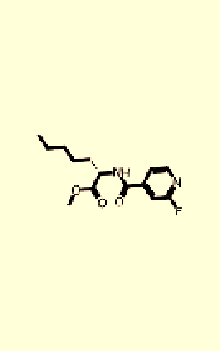 CCCCC[C@H](NC(=O)c1ccnc(F)c1)C(=O)OC